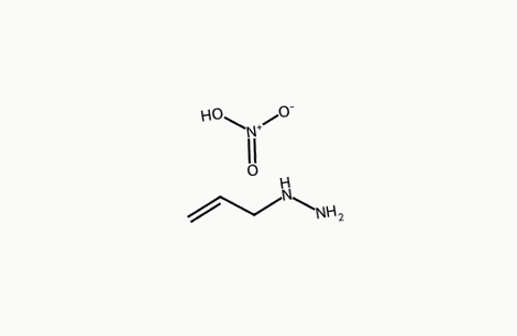 C=CCNN.O=[N+]([O-])O